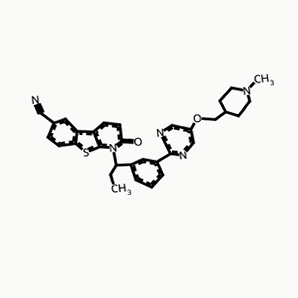 CCC(c1cccc(-c2ncc(OCC3CCN(C)CC3)cn2)c1)n1c(=O)ccc2c3cc(C#N)ccc3sc21